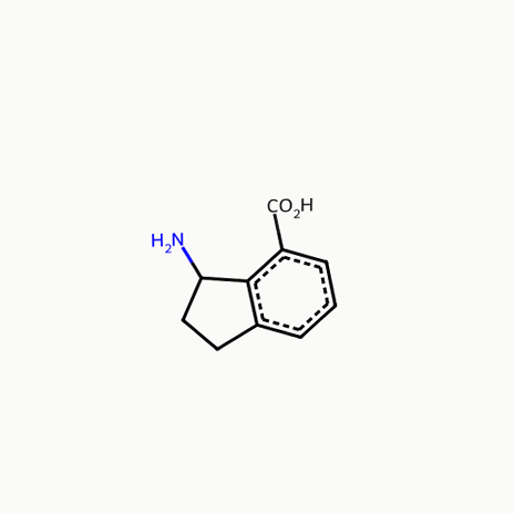 NC1CCc2cccc(C(=O)O)c21